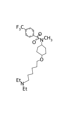 CCN(CC)CCCCCCOC1CCC(N(C)S(=O)(=O)c2ccc(C(F)(F)F)cc2)CC1